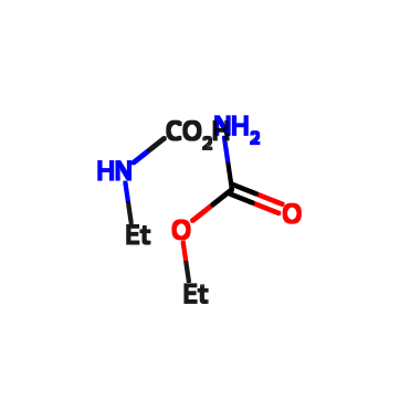 CCNC(=O)O.CCOC(N)=O